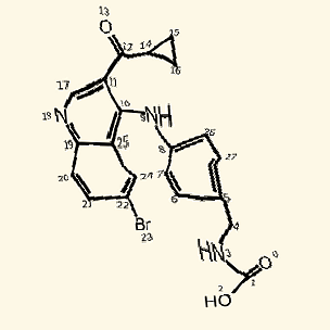 O=C(O)NCc1ccc(Nc2c(C(=O)C3CC3)cnc3ccc(Br)cc23)cc1